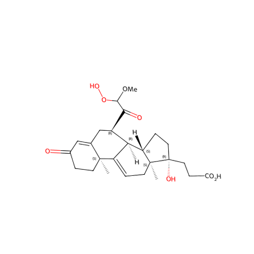 COC(OO)C(=O)[C@@H]1CC2=CC(=O)CC[C@]2(C)C2=CC[C@@]3(C)[C@@H](CC[C@@]3(O)CCC(=O)O)[C@@H]21